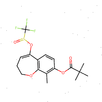 Cc1c(OC(=O)C(C)(C)C)ccc2c1OCCC=C2OS(=O)C(F)(F)F